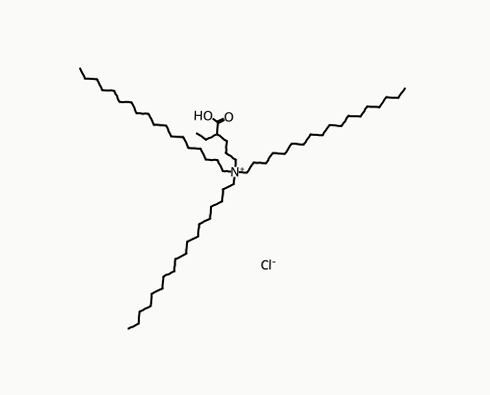 CCCCCCCCCCCCCCCCCC[N+](CCCCCCCCCCCCCCCCCC)(CCCCCCCCCCCCCCCCCC)CCCC(CC)C(=O)O.[Cl-]